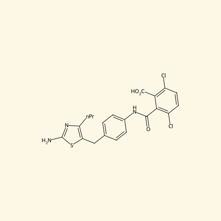 CCCc1nc(N)sc1Cc1ccc(NC(=O)c2c(Cl)ccc(Cl)c2C(=O)O)cc1